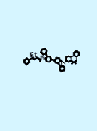 CC/C(=C\C=C(/C)n1c2ccccc2c2cc(-c3ccc4c(c3)c3ccccc3n4-c3ccc4c(c3)C(C)(C)Cc3ccccc3-4)ccc21)c1ccccc1